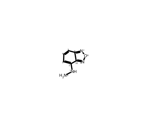 NNc1cccc2nonc12